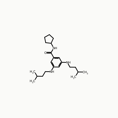 CC(C)CCNc1cc(NCCC(C)C)cc(C(=O)NC2CCCC2)c1